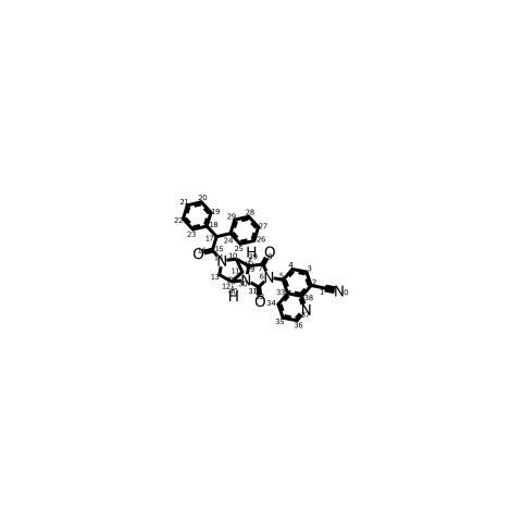 N#Cc1ccc(N2C(=O)[C@@H]3C4C[C@H](CN4C(=O)C(c4ccccc4)c4ccccc4)N3C2=O)c2cccnc12